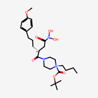 CCCC[N+]1(C(=O)OC(C)(C)C)CCN(C(=O)[C@H](CCCc2ccc(OC)cc2)CC(=O)N(O)O)CC1